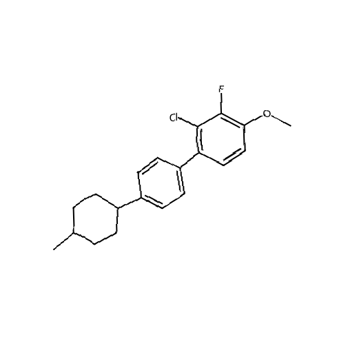 COc1ccc(-c2ccc(C3CCC(C)CC3)cc2)c(Cl)c1F